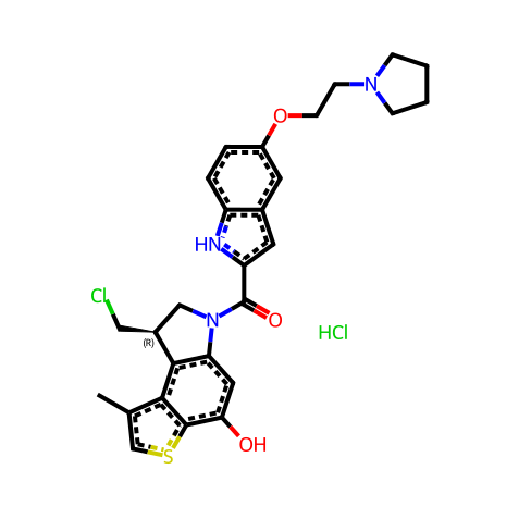 Cc1csc2c(O)cc3c(c12)[C@@H](CCl)CN3C(=O)c1cc2cc(OCCN3CCCC3)ccc2[nH]1.Cl